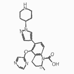 C[C@H]1CCc2c(ccc(-c3cnn(C4CCNCC4)c3)c2Oc2cnccn2)N1C(=O)O